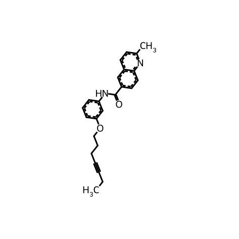 CCC#CCCCOc1cccc(NC(=O)c2ccc3nc(C)ccc3c2)c1